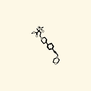 COC(=O)C(C)(CCN1CC=C(c2ccc(C#CCN3CCOCC3)cc2)CC1)S(C)(=O)=O